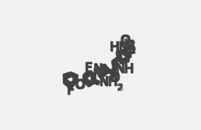 Cc1cc(Oc2ccccc2F)cc(F)c1-n1ncc(C(=O)c2cc3cc(NS(C)(=O)=O)c(F)cc3[nH]2)c1N